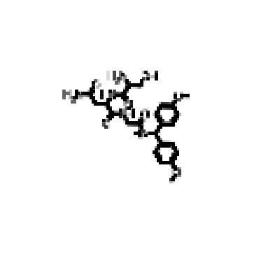 COc1ccc(C(NC(=O)CNC(=O)C(CC(N)=O)NC(=O)C(N)CO)c2ccc(OC)cc2)cc1